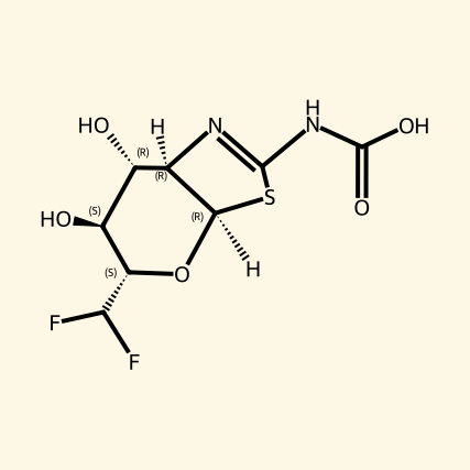 O=C(O)NC1=N[C@@H]2[C@@H](O)[C@H](O)[C@@H](C(F)F)O[C@@H]2S1